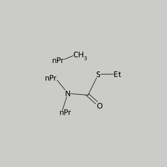 CCCC.CCCN(CCC)C(=O)SCC